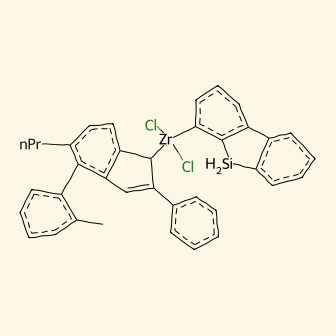 CCCc1ccc2c(c1-c1ccccc1C)C=C(c1ccccc1)[CH]2[Zr]([Cl])([Cl])[c]1cccc2c1[SiH2]c1ccccc1-2